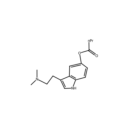 CCCC(=O)Oc1ccc2[nH]cc(CCN(C)C)c2c1